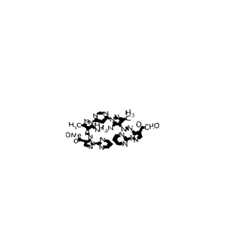 COC(=O)c1cnn(-c2ncccn2)c1/N=N/c1c(C)nn(-c2cc(-n3nc(C)c(/N=N/c4c(C(=O)C=O)cnn4-c4ncccn4)c3N)ncn2)c1N